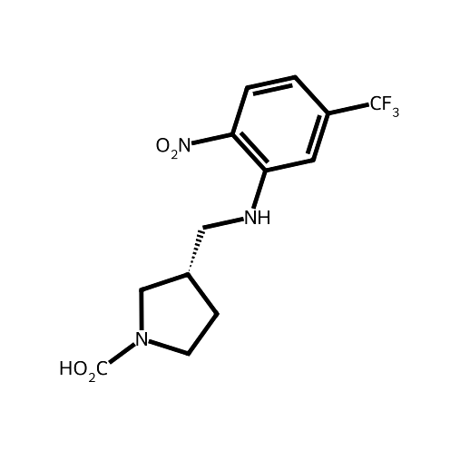 O=C(O)N1CC[C@@H](CNc2cc(C(F)(F)F)ccc2[N+](=O)[O-])C1